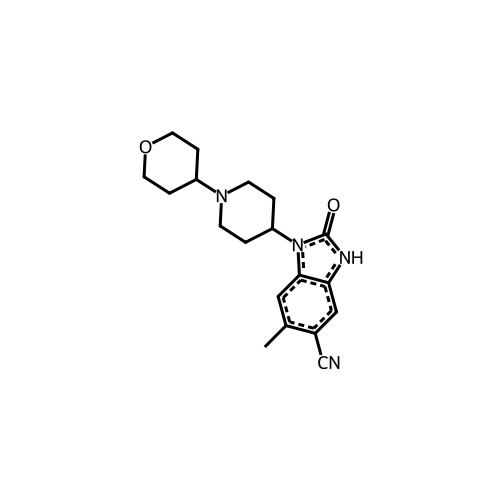 Cc1cc2c(cc1C#N)[nH]c(=O)n2C1CCN(C2CCOCC2)CC1